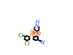 N#Cc1ccc(Pc2cc(Cl)cc(Cl)c2)c(S(=O)(=O)C2CCNCC2)c1